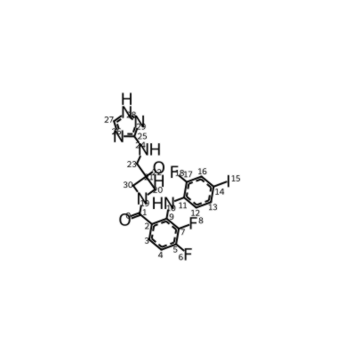 O=C(c1ccc(F)c(F)c1Nc1ccc(I)cc1F)N1CC(O)(CNc2nc[nH]n2)C1